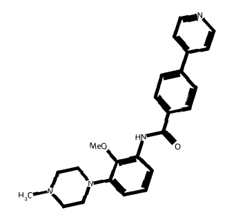 COc1c(NC(=O)c2ccc(-c3ccncc3)cc2)cccc1N1CCN(C)CC1